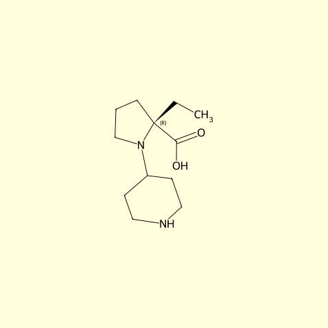 CC[C@]1(C(=O)O)CCCN1C1CCNCC1